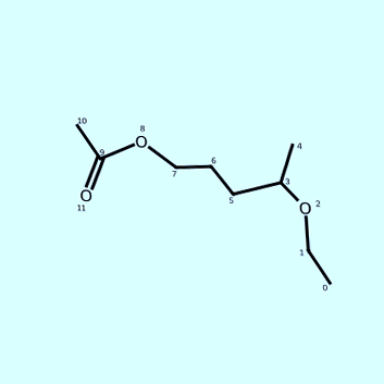 CCOC(C)CCCOC(C)=O